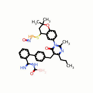 BC(=O)NC(=N)c1ccccc1-c1ccc(Cc2c(CCC)nc(C)n(-c3ccc4c(c3)C(SPN=O)CC(C)(C)O4)c2=O)cc1